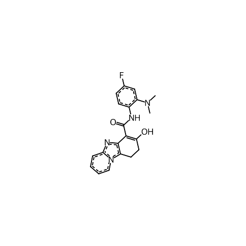 CN(C)c1cc(F)ccc1NC(=O)C1=C(O)CCc2c1nc1ccccn21